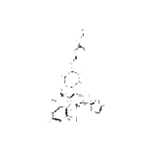 CCOC(=O)CCN[C@H]1CC[C@H](C2=C(C(=O)OC)C(c3ccc(F)cc3Cl)N=C(c3nccs3)N2)CC1